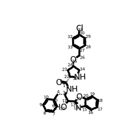 O=C(N[C@@H](Cc1ccccc1)C(O)c1nc2ccccc2o1)[C@@H]1C[C@@H](OCc2ccc(Cl)cc2)CN1